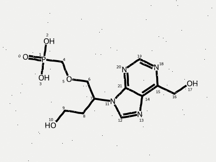 O=P(O)(O)COCC(CCO)n1cnc2c(CO)ncnc21